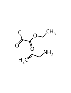 C=CCN.CCOC(=O)C(=O)Cl